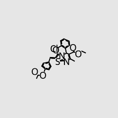 CCOC(=O)C1=C(C)N=c2sc(=Cc3ccc(OC(C)=O)cc3)c(=O)n2C1c1ccccc1Cl